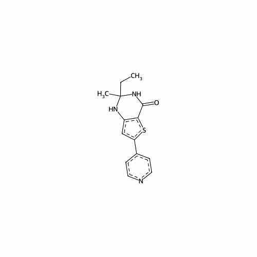 CCC1(C)NC(=O)c2sc(-c3ccncc3)cc2N1